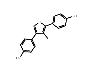 Oc1ccc(-c2noc(-c3ccc(O)cc3)c2I)cc1